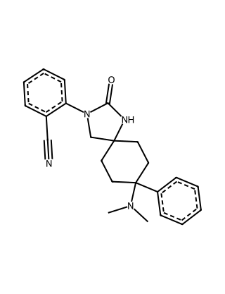 CN(C)C1(c2ccccc2)CCC2(CC1)CN(c1ccccc1C#N)C(=O)N2